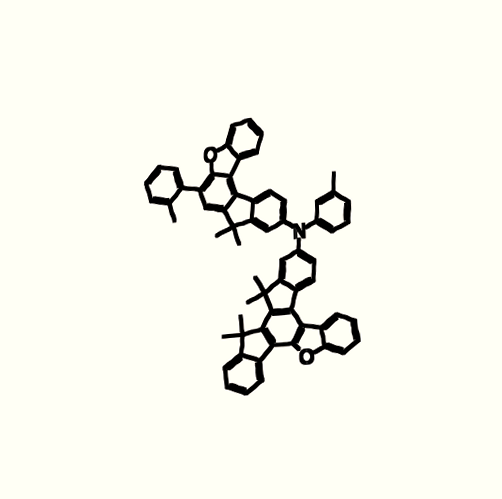 Cc1cccc(N(c2ccc3c(c2)C(C)(C)c2cc(-c4ccccc4C)c4oc5ccccc5c4c2-3)c2ccc3c(c2)C(C)(C)c2c4c(c5oc6ccccc6c5c2-3)-c2ccccc2C4(C)C)c1